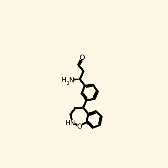 N[C@@H](CC=O)c1cccc(C2CCNOc3ccccc32)c1